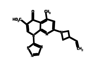 C=CC1CN(c2cc(C)c3c(=O)c(C(=O)O)cn(-c4ncns4)c3n2)C1